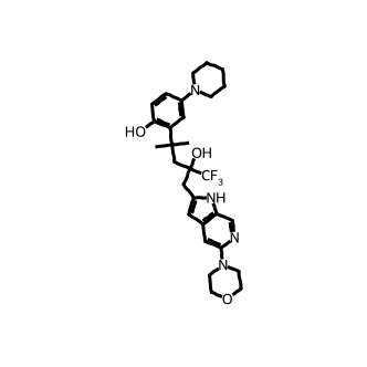 CC(C)(CC(O)(Cc1cc2cc(N3CCOCC3)ncc2[nH]1)C(F)(F)F)c1cc(N2CCCCC2)ccc1O